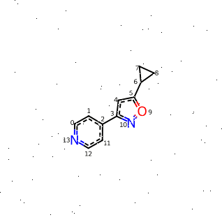 c1cc(-c2cc(C3CC3)on2)ccn1